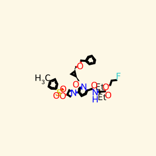 CCC(CC)(NC(=O)c1ccc(N2CC(OS(=O)(=O)c3ccc(C)cc3)C2)c(OC[C@H]2C[C@@H]2COCc2ccccc2)n1)C(=O)OCCCF